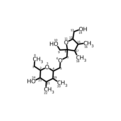 CCC1OC(COCC2(CO)OC(CO)C(C)C2C)C(C)C(C)C1O